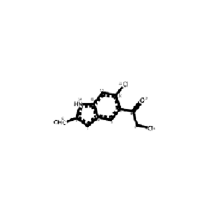 O=Cc1cc2cc(C(=O)CCl)c(Cl)cc2[nH]1